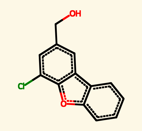 OCc1cc(Cl)c2oc3ccccc3c2c1